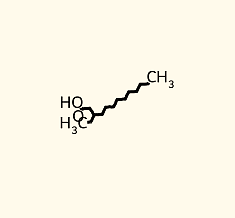 CCCCCCCCCCC(CC)CC(=O)O